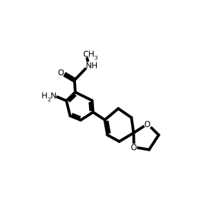 CNC(=O)c1cc(C2=CCC3(CC2)OCCO3)ccc1N